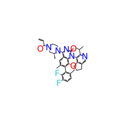 C=CC(=O)N1CCN(c2nc(=O)n(-c3c(C(C)C)ncc4c3CCC4)c3c4c(c(C)cc23)-c2c(ccc(F)c2F)CO4)[C@@H](C)C1